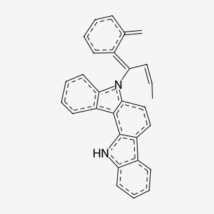 C=c1cccc/c1=C(/C=C\C)n1c2ccccc2c2c3[nH]c4ccccc4c3ccc21